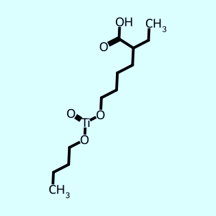 CCCC[O][Ti](=[O])[O]CCCCC(CC)C(=O)O